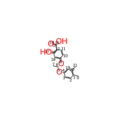 Cc1ccc(OC(C)Oc2ccc(C(=O)O)c(O)c2)cc1C